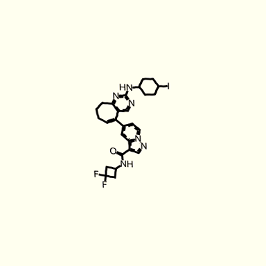 O=C(NC1CC(F)(F)C1)c1cnn2ccc(C3=CCCCc4nc(NC5CCC(I)CC5)ncc43)cc12